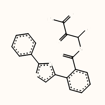 CCCCC(NC(=O)c1ccccc1-c1csc(-c2ccccc2)n1)C(=O)C(N)=O